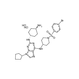 Cl.Cl.N[C@H]1CC[C@H](Nc2nc(NC3CCN(S(=O)(=O)c4ccc(Br)cc4)CC3)c3ncn(C4CCCC4)c3n2)CC1